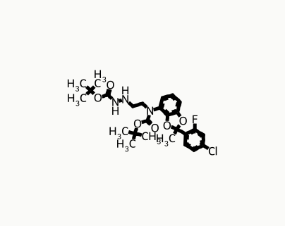 CC(C)(C)OC(=O)NNCCN(C(=O)OC(C)(C)C)c1cccc2c1OC(C)(c1ccc(Cl)cc1F)O2